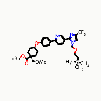 CCCCOC(=O)[C@]1(COC)CC[C@@H](Oc2ccc(-c3ccc(-c4nc(C(F)(F)F)cn4COCC[Si](C)(C)C)cn3)cc2)CC1